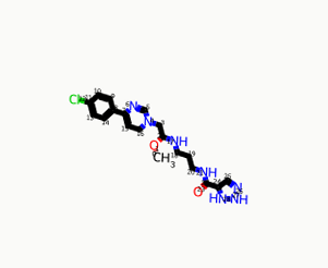 COC(CN1C=NC(c2ccc(Cl)cc2)=CC1)NCCCNC(=O)C1C=NNN1